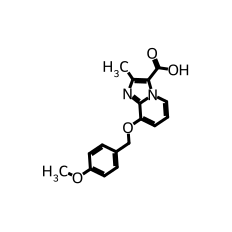 COc1ccc(COc2cccn3c(C(=O)O)c(C)nc23)cc1